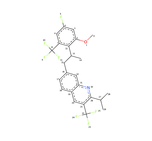 COc1cc(F)cc(C(F)(F)F)c1C(C)Cc1ccc2cc(C(F)(F)F)c(C(C)C)nc2c1